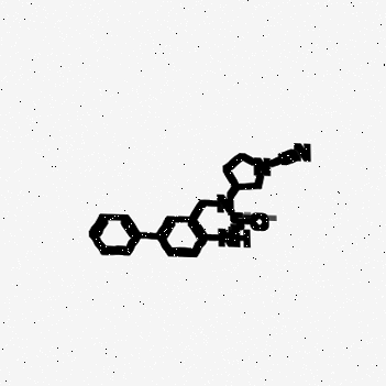 N#CN1CCC(N2Cc3cc(-c4ccccc4)ccc3N[S+]2[O-])C1